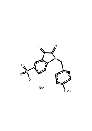 COc1ccc(CN2C(=O)C(=O)c3cc(S(=O)(=O)[O-])ccc32)cc1.[Na+]